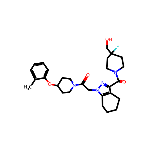 Cc1ccccc1OC1CCN(C(=O)Cn2nc(C(=O)N3CCC(F)(CO)CC3)c3c2CCCC3)CC1